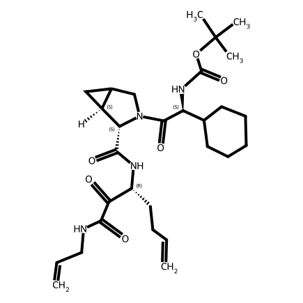 C=CCC[C@@H](NC(=O)[C@@H]1[C@H]2CC2CN1C(=O)[C@@H](NC(=O)OC(C)(C)C)C1CCCCC1)C(=O)C(=O)NCC=C